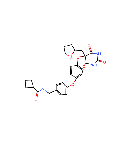 O=C1NC(=O)C(CC2CCCO2)(Oc2ccc(Oc3ccc(CNC(=O)C4CCC4)cc3)cc2)C(=O)N1